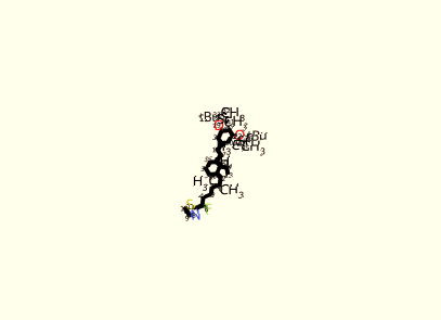 C[C@H](CCCC(F)c1nccs1)[C@H]1CC[C@H]2/C(=C/C=C3C[C@@H](O[Si](C)(C)C(C)(C)C)C[C@H](O[Si](C)(C)C(C)(C)C)C3)CCC[C@]12C